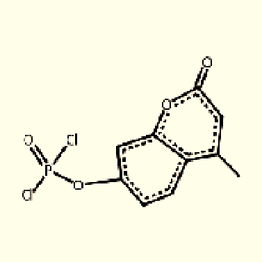 Cc1cc(=O)oc2cc(OP(=O)(Cl)Cl)ccc12